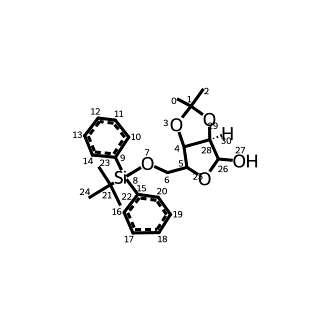 CC1(C)OC2C(CO[Si](c3ccccc3)(c3ccccc3)C(C)(C)C)OC(O)[C@@H]2O1